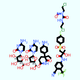 CC(O)(CS(=O)(=O)c1ccc(F)cc1)C(=O)Nc1ccc(C#N)c(C(F)(F)F)c1.CCC1(c2ccc(N)cc2)CCC(=O)NC1=O.Nc1ccn([C@@H]2O[C@H](CO)[C@@H](O)[C@@H]2O)c(=O)n1.Nc1ccn([C@@H]2O[C@H](CO)[C@@H](O)[C@@H]2O)c(=O)n1.O=NN(CCCl)C(=O)NCCCl